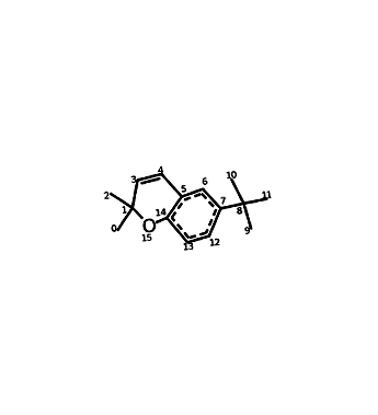 CC1(C)C=Cc2cc(C(C)(C)C)ccc2O1